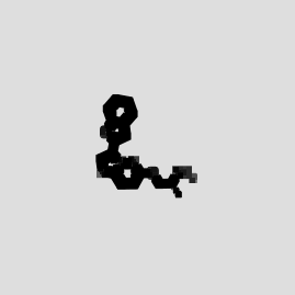 C[C@@H](N)COc1ccc2ncc(-c3cc4ccccc4o3)n2n1